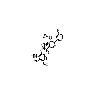 CN(Cc1cnc(CF)c2cn[nH]c12)C(=O)c1ccc(-c2cccc(F)c2)c(OC2CC2)n1